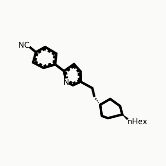 CCCCCC[C@H]1CC[C@H](CCc2ccc(-c3ccc(C#N)cc3)nc2)CC1